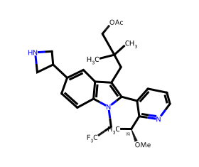 CO[C@@H](C)c1ncccc1-c1c(CC(C)(C)COC(C)=O)c2cc(C3CNC3)ccc2n1CC(F)(F)F